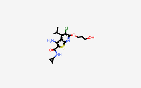 CC(C)c1c(Cl)c(OCCCO)nc2sc(C(=O)NC3CC3)c(N)c12